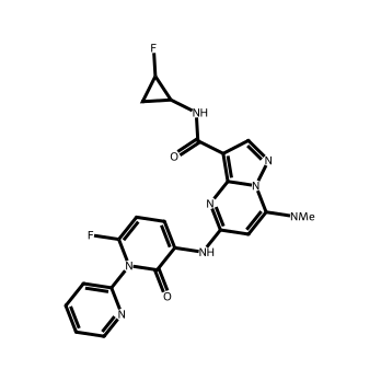 CNc1cc(Nc2ccc(F)n(-c3ccccn3)c2=O)nc2c(C(=O)NC3CC3F)cnn12